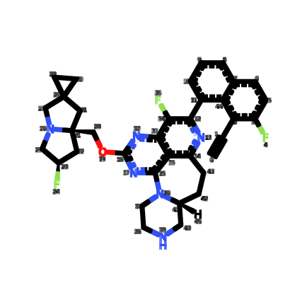 C#Cc1c(F)ccc2cccc(-c3nc4c5c(nc(OC[C@@]67C[C@@H](F)CN6CC6(CC6)C7)nc5c3F)N3CCNC[C@H]3CC4)c12